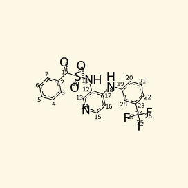 O=C(c1ccccc1)S(=O)(=O)Nc1cnccc1Nc1cccc(C(F)(F)F)c1